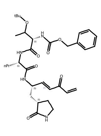 C=CC(=O)/C=C/[C@H](C[C@@H]1CCNC1=O)NC(=O)[C@H](CCC)NC(=O)[C@@H](NC(=O)OCc1ccccc1)C(C)OC(C)(C)C